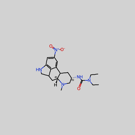 CCN(CC)C(=O)N[C@H]1CC2c3cc([N+](=O)[O-])cc4c3C(CN4)C[C@H]2N(C)C1